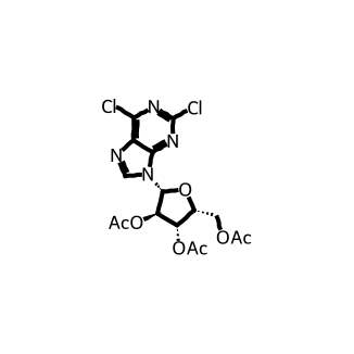 CC(=O)OC[C@H]1O[C@@H](n2cnc3c(Cl)nc(Cl)nc32)[C@H](OC(C)=O)[C@H]1OC(C)=O